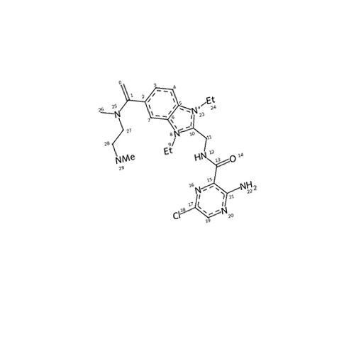 C=C(c1ccc2c(c1)n(CC)c(CNC(=O)c1nc(Cl)cnc1N)[n+]2CC)N(C)CCNC